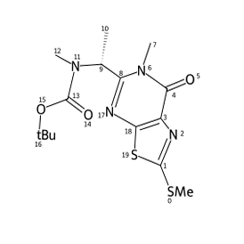 CSc1nc2c(=O)n(C)c([C@@H](C)N(C)C(=O)OC(C)(C)C)nc2s1